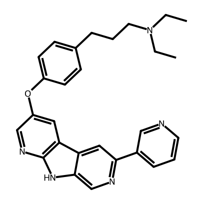 CCN(CC)CCCc1ccc(Oc2cnc3[nH]c4cnc(-c5cccnc5)cc4c3c2)cc1